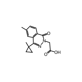 Cc1ccc2c(=O)n(CC(=O)O)nc(C3(C)CC3)c2c1